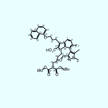 Cc1c(-c2c(F)ccc3c(CCCOc4cccc5ccccc45)c(C(=O)O)n(CCCCN(C(=O)OC(C)(C)C)C(=O)OC(C)(C)C)c23)c(CO)nn1C